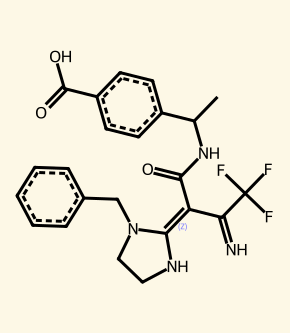 CC(NC(=O)/C(C(=N)C(F)(F)F)=C1/NCCN1Cc1ccccc1)c1ccc(C(=O)O)cc1